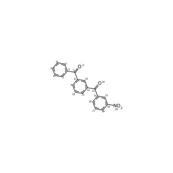 O=C(c1ccccc1)c1cccc(C(=O)c2cccc([N+](=O)[O-])c2)c1